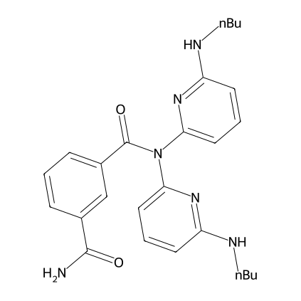 CCCCNc1cccc(N(C(=O)c2cccc(C(N)=O)c2)c2cccc(NCCCC)n2)n1